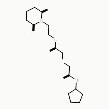 O=C(CSCC(=O)NC1CCCC1)NCCN1C(=O)CCCC1=O